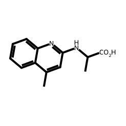 Cc1cc(NC(C)C(=O)O)nc2ccccc12